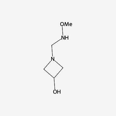 CONCN1CC(O)C1